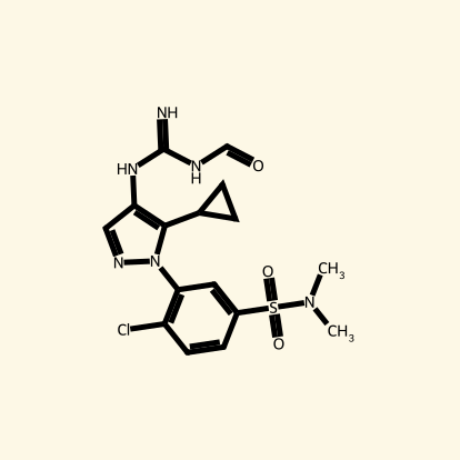 CN(C)S(=O)(=O)c1ccc(Cl)c(-n2ncc(NC(=N)NC=O)c2C2CC2)c1